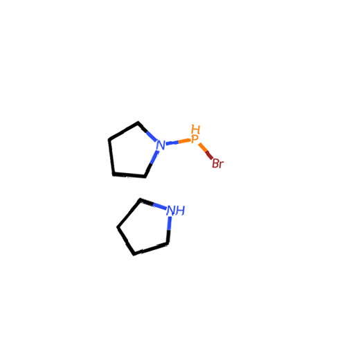 BrPN1CCCC1.C1CCNC1